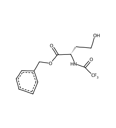 O=C(OCc1ccccc1)[C@H](CCO)NC(=O)C(F)(F)F